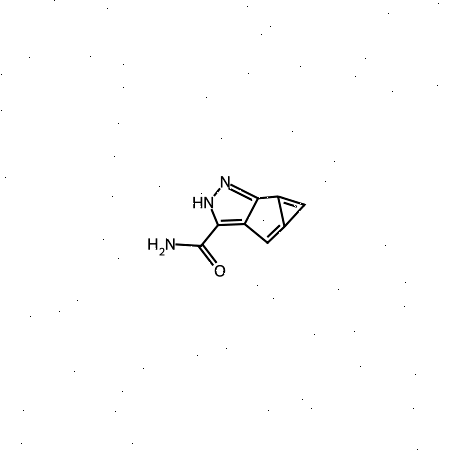 NC(=O)c1[nH]nc2c3cc-3cc12